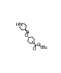 CC(C)(C)OC(=O)N1CCC(ON=C2CCNCC2)CC1